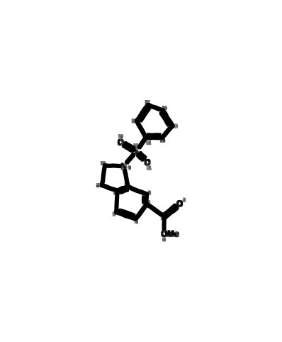 COC(=O)c1ccc2c(c1)N(S(=O)(=O)c1ccccc1)CC2